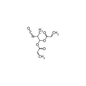 C=CC(=O)OC(OC(=O)C=C)C(C)N=C=O